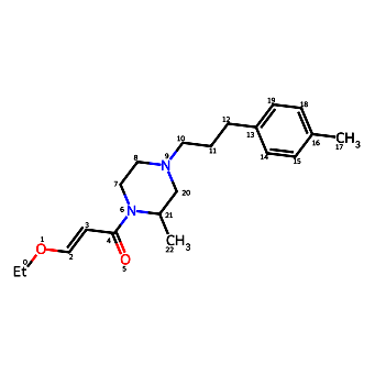 CCOC=CC(=O)N1CCN(CCCc2ccc(C)cc2)CC1C